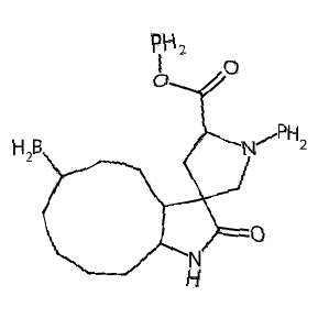 BC1CCCCC2NC(=O)C3(CC(C(=O)OP)N(P)C3)C2CC1